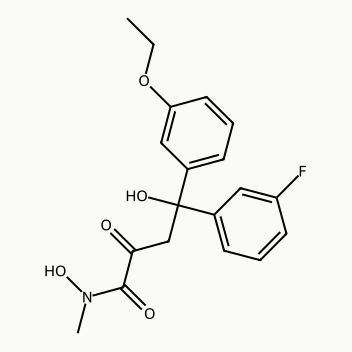 CCOc1cccc(C(O)(CC(=O)C(=O)N(C)O)c2cccc(F)c2)c1